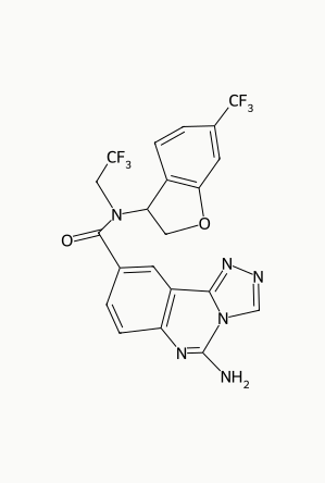 Nc1nc2ccc(C(=O)N(CC(F)(F)F)C3COc4cc(C(F)(F)F)ccc43)cc2c2nncn12